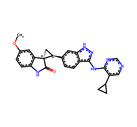 COc1ccc2c(c1)[C@]1(C[C@H]1c1ccc3c(Nc4ncncc4C4CC4)n[nH]c3c1)C(=O)N2